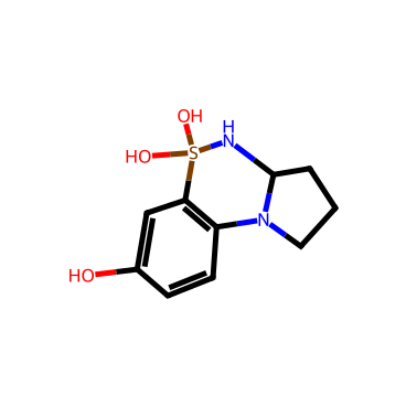 Oc1ccc2c(c1)S(O)(O)NC1CCCN21